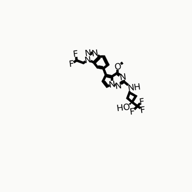 COc1nc(N[C@H]2C[C@@](O)(C(F)(F)F)C2)nn2ccc(-c3ccc4nnn(CC(F)F)c4c3)c12